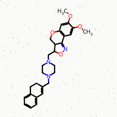 COc1cc2c(cc1OC)C1=NOC(CN3CCN(CC4=Cc5ccccc5CC4)CC3)C1CO2